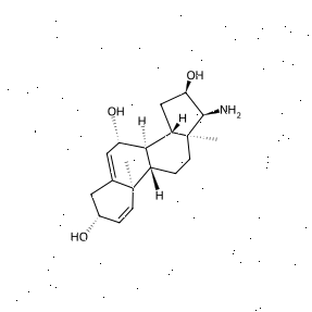 C[C@]12CC[C@H]3[C@@H]([C@@H](O)C=C4C[C@@H](O)C=C[C@@]43C)[C@@H]1C[C@@H](O)[C@H]2N